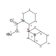 CC(C)(C)OC(=O)N1CCCCC1CB1C2CCCC1CCC2